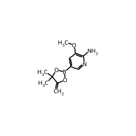 C=C1OB(c2cnc(N)c(OC)c2)OC1(C)C